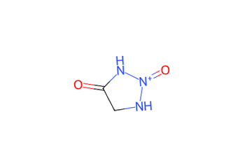 O=C1CN[N+](=O)N1